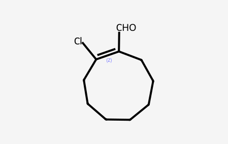 O=C/C1=C(\Cl)CCCCCCC1